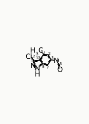 Cc1cc(N=C=O)cc2[nH]nc(Cl)c12